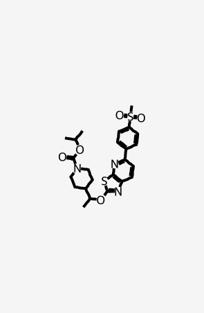 CC(C)OC(=O)N1CCC(C(C)Oc2nc3ccc(-c4ccc(S(C)(=O)=O)cc4)nc3s2)CC1